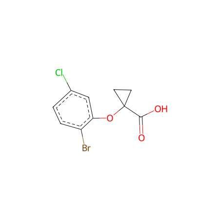 O=C(O)C1(Oc2cc(Cl)ccc2Br)CC1